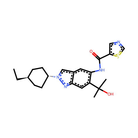 CC[C@H]1CC[C@H](n2cc3cc(NC(=O)c4cncs4)c(C(C)(C)O)cc3n2)CC1